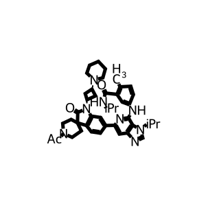 CC(=O)N1CCC2(CC1)C(=O)N([C@H]1C[C@@H](N3CCCCC3)C1)c1cc(-c3cc4ncn(C(C)C)c4c(Nc4ccc(C)c(C(=O)NC(C)C)c4)n3)ccc12